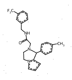 Cc1ccc(C2c3cccn3CCN2CC(=O)NCc2cccc(C(F)(F)F)c2)cc1